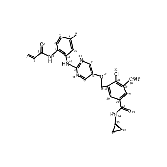 C=CC(=O)Nc1ccc(C)cc1Nc1ncc(OCc2cc(C(=O)NC3CC3)cc(OC)c2Cl)cn1